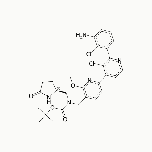 COc1nc(-c2ccnc(-c3cccc(N)c3Cl)c2Cl)ccc1CN(C[C@@H]1CCC(=O)N1)C(=O)OC(C)(C)C